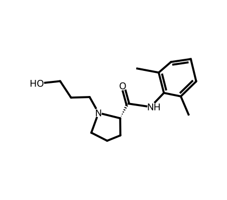 Cc1cccc(C)c1NC(=O)[C@@H]1CCCN1CCCO